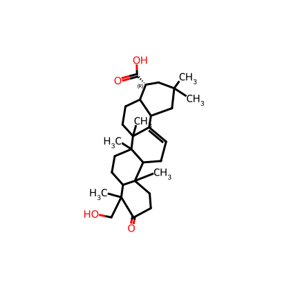 CC1(C)CC2C3=CCC4C5(C)CCC(=O)C(C)(CO)C5CCC4(C)C3(C)CCC2[C@H](C(=O)O)C1